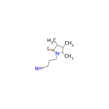 CC1C(=S)N(CCCC#N)C(C)C1C